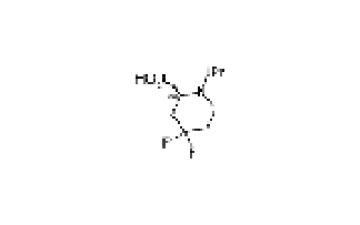 CC(C)N1CCC(F)(F)C[C@H]1C(=O)O